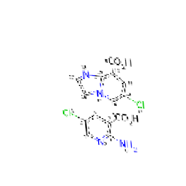 Nc1ncc(Cl)cc1C(=O)O.O=C(O)c1cc(Cl)cn2ccnc12